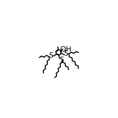 CCCCCCCC(CCCC)SCc1cc(C)c(O)c(CSC(CCCC)CCCCCCC)c1CSC(CCCC)CCCCCCC